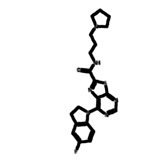 O=C(NCCCN1CCCC1)c1nc2c(N3CCc4cc(F)ccc43)ncnc2s1